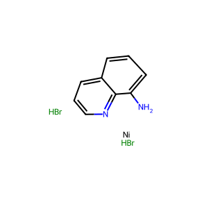 Br.Br.Nc1cccc2cccnc12.[Ni]